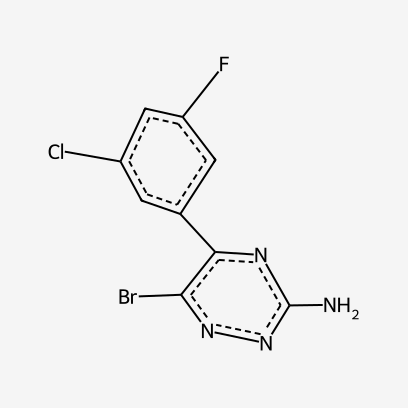 Nc1nnc(Br)c(-c2cc(F)cc(Cl)c2)n1